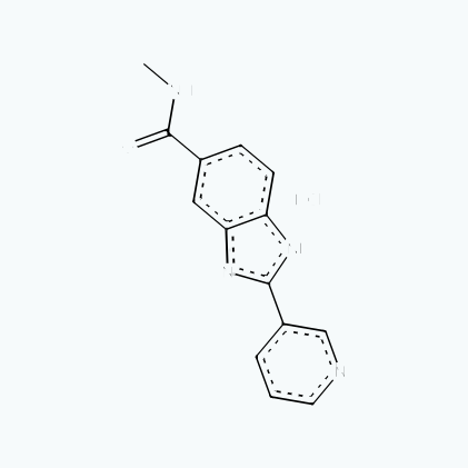 CNC(=O)c1ccc2[nH]c(-c3cccnc3)nc2c1.Cl